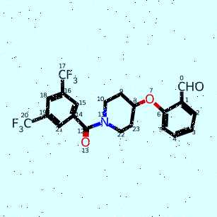 O=Cc1ccccc1OC1CCN(C(=O)c2cc(C(F)(F)F)cc(C(F)(F)F)c2)CC1